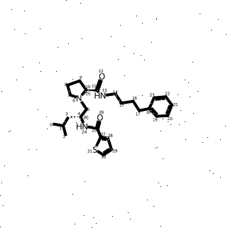 CC(C)C[C@H](CN1CCC[C@H]1C(=O)NCCCCc1ccccc1)NC(=O)c1cccs1